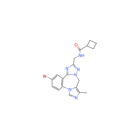 Cc1ncn2c1Cn1nc(CNC(=O)C3CCC3)nc1-c1cc(Br)ccc1-2